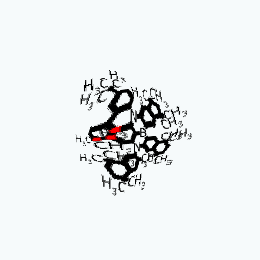 Cc1cc2c(cc1N1c3cc4c(cc3B3c5cc6c(cc5N(c5ccc(C(C)(C)C)cc5-c5ccccc5)c5cc(C(C)(C)C)cc1c53)C(C)(C)CC6(C)C)C(C)(C)CCC4(C)C)C(C)(C)CCC2(C)C